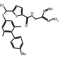 CCC(Sc1cc(C)c(-c2ccc(C(C)(C)C)cc2)c(C)c1)c1ccc(C(=O)NC/C(N=N)=N/N)s1